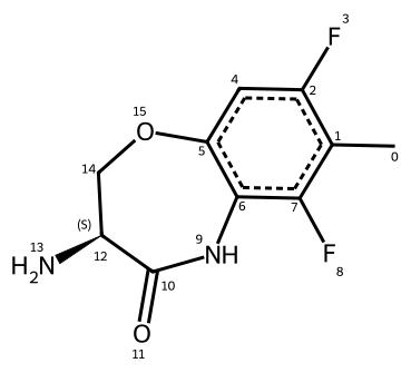 Cc1c(F)cc2c(c1F)NC(=O)[C@@H](N)CO2